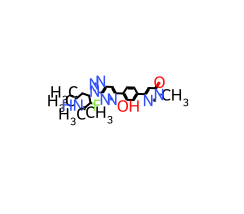 Cn1cnc(-c2ccc(-c3cc4nnn(C5CC(C)(C)NC(C)(C)C5F)c4nn3)c(O)c2)cc1=O